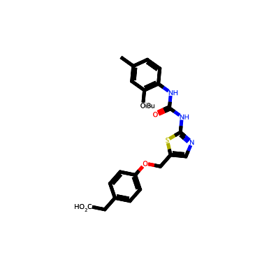 Cc1ccc(NC(=O)Nc2ncc(COc3ccc(CC(=O)O)cc3)s2)c(OCC(C)C)c1